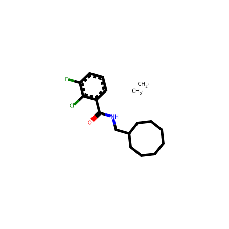 O=C(NC[C]1CCCCCCC1)c1cccc(F)c1Cl.[CH2].[CH2]